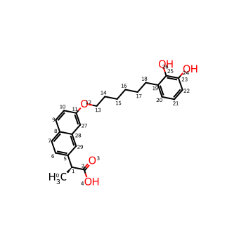 C[C@H](C(=O)O)c1ccc2ccc(OCCCCCCc3cccc(O)c3O)cc2c1